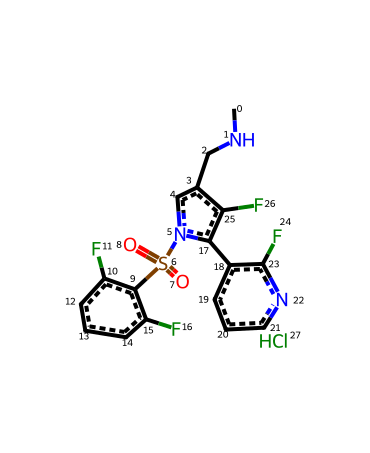 CNCc1cn(S(=O)(=O)c2c(F)cccc2F)c(-c2cccnc2F)c1F.Cl